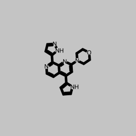 c1c[nH]c(-c2cc(N3CCOCC3)nc3c(-c4ccn[nH]4)nccc23)c1